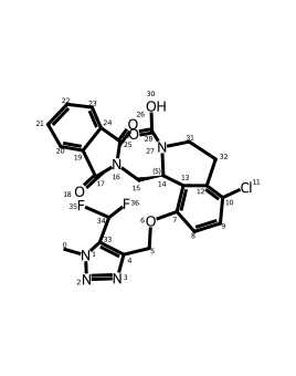 Cn1nnc(COc2ccc(Cl)c3c2[C@@H](CN2C(=O)c4ccccc4C2=O)N(C(=O)O)CC3)c1C(F)F